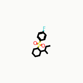 CCC(C)C1CCCCC1S(=O)(=O)c1ccc(F)cc1